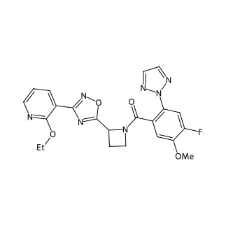 CCOc1ncccc1-c1noc(C2CCN2C(=O)c2cc(OC)c(F)cc2-n2nccn2)n1